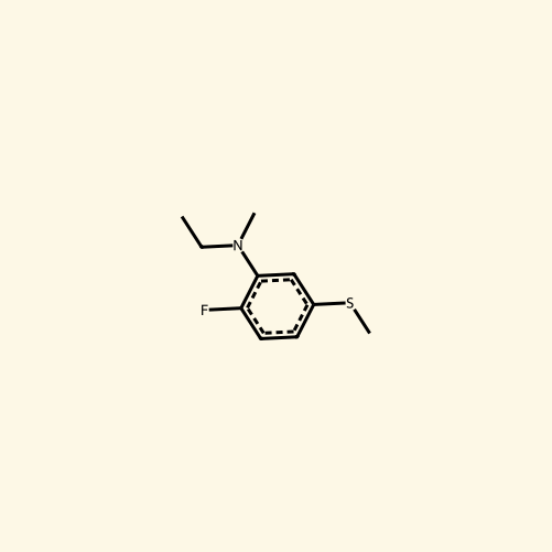 CCN(C)c1cc(SC)ccc1F